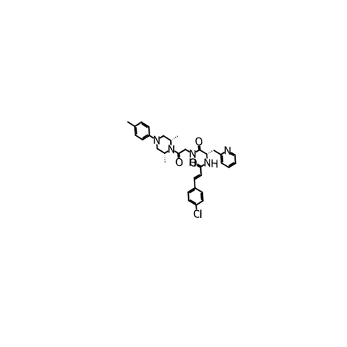 Cc1ccc(N2C[C@@H](C)N(C(=O)CNC(=O)[C@H](Cc3ccccn3)NC(=O)C=Cc3ccc(Cl)cc3)[C@@H](C)C2)cc1